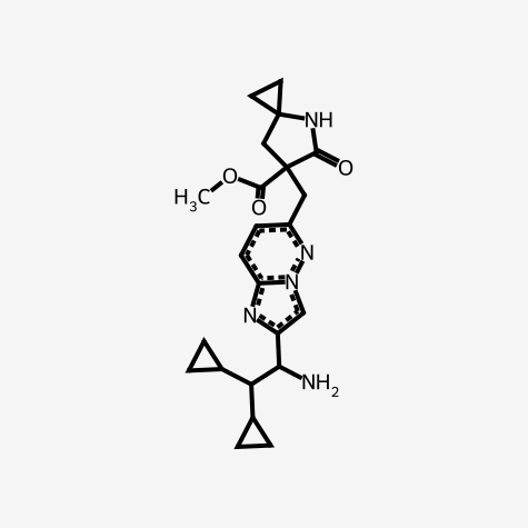 COC(=O)C1(Cc2ccc3nc(C(N)C(C4CC4)C4CC4)cn3n2)CC2(CC2)NC1=O